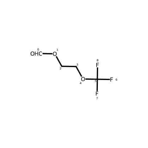 O=COCCOC(F)(F)F